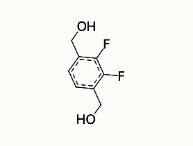 OCc1ccc(CO)c(F)c1F